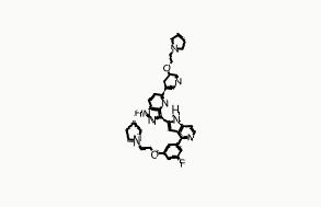 Fc1cc(OCCN2CCCC2)cc(-c2nccc3[nH]c(-c4n[nH]c5ccc(-c6cncc(OCCN7CCCC7)c6)nc45)cc23)c1